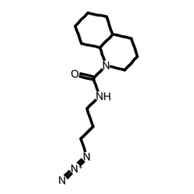 [N-]=[N+]=NCCCNC(=O)N1CCCC2CCCCC21